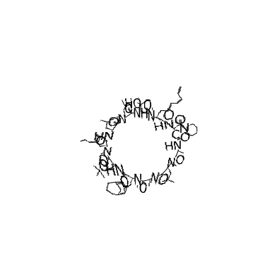 C=C/C=C\C=C\C[C@H]1C(=O)NC(C(=O)N2CCCCC2)CC(=O)NC(C)C(=O)N(C)[C@@H](CC(C)C)C(=O)N(C)[C@@H](C)C(=O)N(C)[C@@H](CC2C3=C4CCCC(=C2C3)C4)C(=O)N[C@@H](COC(C)(C)C)C(=O)N(C)[C@@H](C/C(C=C)=C/C=C)C(=O)N[C@@H](CC(C)C)C(=O)N(C)[C@@H](CC(C)C)C(=O)NC(C(C)O)C(=O)N1C